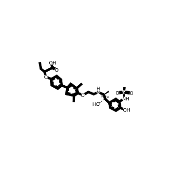 CCC(Oc1ccc(-c2cc(C)c(OCCN[C@@H](C)[C@@H](O)c3ccc(O)c(NS(C)(=O)=O)c3)c(C)c2)cc1)C(=O)O